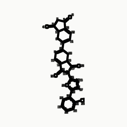 O=C1CC(=O)C2CC(C3=CC=C4C(=O)N(c5nnc(-c6ccccc6Cl)o5)C(=O)C4C3)=CC=C12